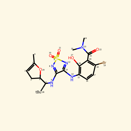 CC1=CCC(C(NC2=NS(=O)(=O)N=C2Nc2ccc(Br)c(C(=O)N(C)C)c2O)C(C)(C)C)O1